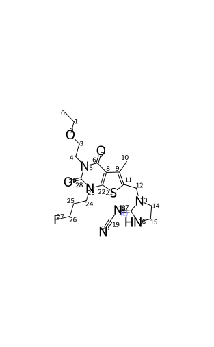 CCOCCn1c(=O)c2c(C)c(CN3CCN/C3=N\C#N)sc2n(CCCF)c1=O